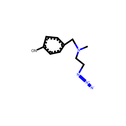 CN(CCN=[N+]=[N-])Cc1ccc(N=O)cc1